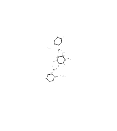 CC(=O)Oc1ccccc1C(=O)Oc1c(C)c(C)c2c(c1C)SC(c1ccccc1OC(C)=O)O2